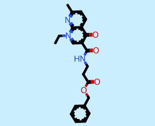 CCn1cc(C(=O)NCCC(=O)OCc2ccccc2)c(=O)c2ccc(C)nc21